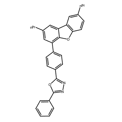 CCCc1ccc2oc3c(-c4ccc(-c5nnc(-c6ccccc6)o5)cc4)cc(CCC)cc3c2c1